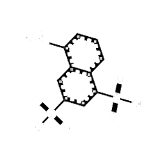 O=S(=O)([O-])c1cc(S(=O)(=O)O)c2cccc(O)c2c1.[Na+]